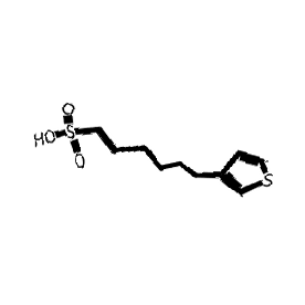 O=S(=O)(O)CCCCCCc1[c]s[c]c1